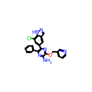 Nc1nc(-c2ccccc2)c(-c2cc(Cl)c3[nH]ncc3c2)nc1OCc1cccnc1